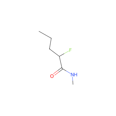 CCCC(F)C(=O)NC